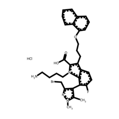 Cc1c(-c2c(F)ccc3c(CCCOc4cccc5ccccc45)c(C(=O)O)n(CCCCN)c23)c(CBr)nn1C.Cl